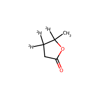 [2H]C1([2H])CC(=O)OC1([2H])C